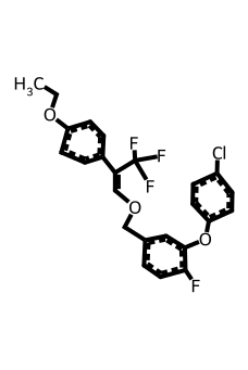 CCOc1ccc(C(=COCc2ccc(F)c(Oc3ccc(Cl)cc3)c2)C(F)(F)F)cc1